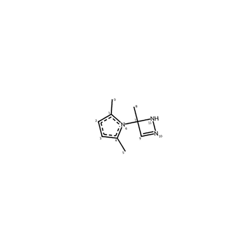 Cc1ccc(C)n1C1(C)C=NN1